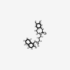 Cc1cc2c(cc1C)CC(=O)N(CCCN(C)Cc1c(C)ccc3ccccc13)CC2